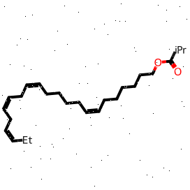 CC/C=C\C/C=C\C/C=C\CCCC/C=C\CCCCCCOC(=O)C(C)C